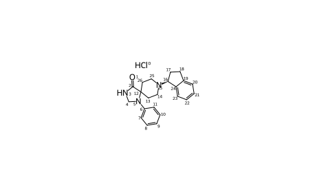 Cl.O=C1NCN(c2ccccc2)C12CCN([C@H]1CCc3ccccc31)CC2